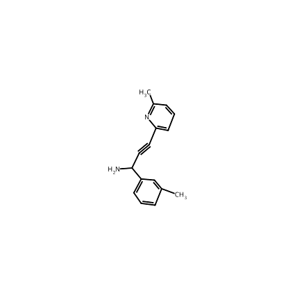 Cc1cccc(C(N)C#Cc2cccc(C)n2)c1